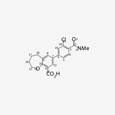 CNC(=O)c1ccc(-c2cc3c(c(C(=O)O)c2)OCCCC3)cc1Cl